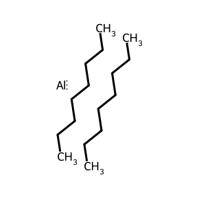 CCCCCCCC.CCCCCCCC.[Al]